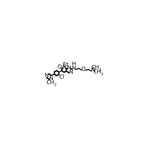 CCn1c(=O)c(-c2ccc(-c3cncc(C)n3)cc2Cl)cc2cnc(NCCCOCCCN(C)C)nc21